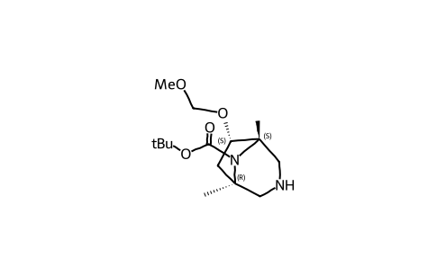 COCO[C@H]1C[C@]2(C)CNC[C@]1(C)N2C(=O)OC(C)(C)C